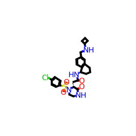 O=C(C[C@@H]1C(=O)NCCN1S(=O)(=O)c1ccc(Cl)cc1)N[C@@H]1CCCc2cc(CNC3CCC3)ccc21